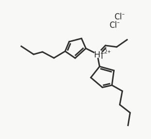 CC[CH]=[Hf+2]([C]1=CC(CCCC)=CC1)[C]1=CC(CCCC)=CC1.[Cl-].[Cl-]